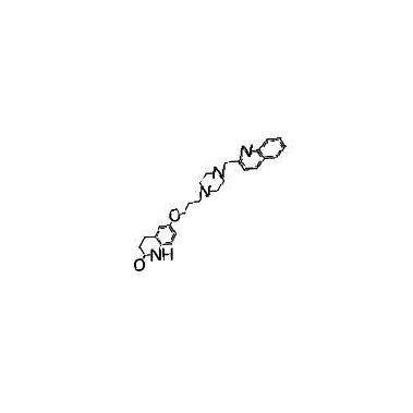 O=C1CCc2cc(OCCCN3CCN(Cc4ccc5ccccc5n4)CC3)ccc2N1